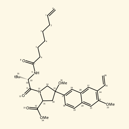 C=CCCCCCC(=O)N[C@H](C(=O)N1CC(OC)(c2ccc3cc(OC)c(C=C)cc3c2)CC1C(=O)OC)C(C)(C)C